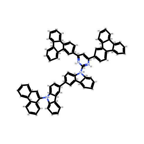 c1ccc2c(c1)cc(-n1c3ccccc3c3cc(-c4ccc5c(c4)c4ccccc4n5-c4nc(-c5ccc6c7ccccc7c7ccccc7c6c5)cc(-c5ccc6c7ccccc7c7ccccc7c6c5)n4)ccc31)c1ccccc12